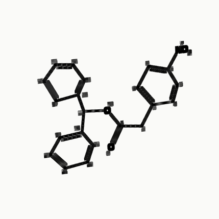 O=C(Cc1ccc([N+](=O)[O-])cc1)OC(c1ccccc1)c1ccccc1